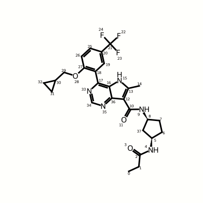 CCC(=O)N[C@@H]1CC[C@H](NC(=O)c2c(C)[nH]c3c(-c4cc(C(F)(F)F)ccc4OCC4CC4)ncnc23)C1